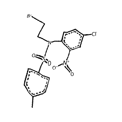 Cc1ccc(S(=O)(=O)N(CCBr)c2ccc(Cl)cc2[N+](=O)[O-])cc1